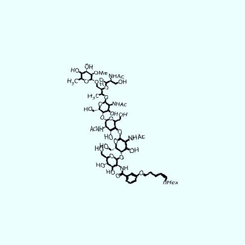 CCCCCC/C=C\CCCOc1cccc(C(=O)N[C@@H]2C(O[C@H]3C(O)C(NC(C)=O)[C@H](OC4C(CO)O[C@@H](O[C@H]5C(O)C(NC(C)=O)C(OC(C)C(CO[C@@H]6OC(C)C(O)[C@H](O)[C@H]6OC)OC(O)[C@H](CO)NC(C)=O)O[C@H]5CO)[C@@H](NC(C)=O)[C@H]4O)O[C@H]3CO)OC(CO)[C@@H](O)C2O)c1